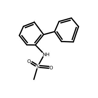 CS(=O)(=O)Nc1ccc[c]c1-c1ccccc1